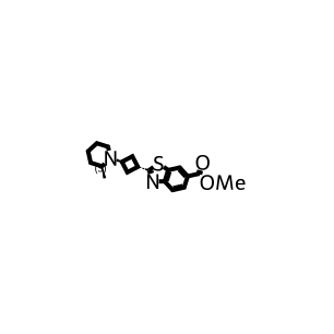 COC(=O)c1ccc2nc([C@H]3C[C@H](N4CCCC[C@@H]4C)C3)sc2c1